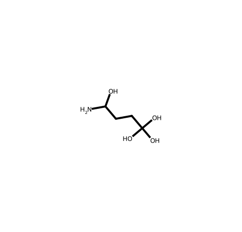 NC(O)CCC(O)(O)O